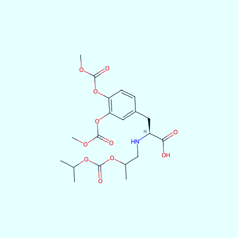 COC(=O)Oc1ccc(C[C@H](NCC(C)OC(=O)OC(C)C)C(=O)O)cc1OC(=O)OC